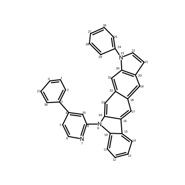 c1ccc(-c2ccnc(-n3c4ccccc4c4cc5cc6ccn(-c7ccccc7)c6cc5cc43)c2)cc1